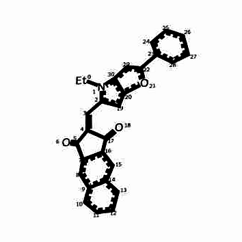 CCn1c(C=C2C(=O)c3cc4ccccc4cc3C2=O)cc2oc(-c3ccccc3)cc21